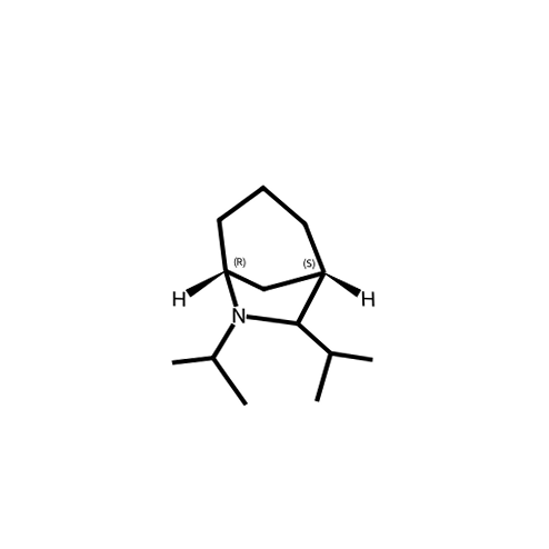 CC(C)C1[C@H]2CCC[C@H](C2)N1C(C)C